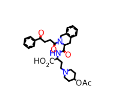 CC(=O)OC1CCN(CCC(NC(=O)C2Cc3ccccc3CN2C(=O)CCC(=O)c2ccccc2)C(=O)O)CC1